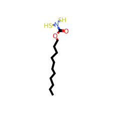 CCCCCCCCCCCOC(=O)N(S)S